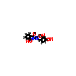 O=C(N/N=C/c1ccc(O)cc1O)c1ccccc1O